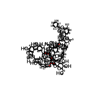 CNC(CC(C)C)C(=O)NC1C(=O)N[C@@H](CC(N)=O)C(=O)N[C@H]2C(=O)N[C@H]3C(=O)N[C@H](C(=O)N[C@@H](C(=O)O)c4cc(O)cc(O)c4-c4cc3ccc4O)C(O)c3ccc(c(Cl)c3)Oc3cc2cc(c3OC2OC(CO)[C@H](O)C(O)[C@H]2O[C@@H]2CC(C)(NCc3ccc(OCCCNC(=O)c4ccc(C)c(OCc5ccccc5)c4[N+](=O)[O-])cc3)[C@@H](O)C(C)O2)Oc2ccc(cc2Cl)[C@H]1O